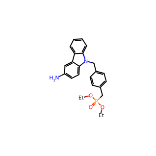 CCOP(=O)(Cc1ccc(Cn2c3ccccc3c3cc(N)ccc32)cc1)OCC